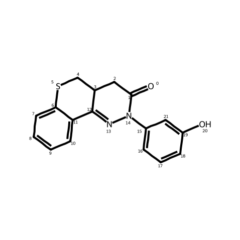 O=C1CC2CSc3ccccc3C2=NN1c1cccc(O)c1